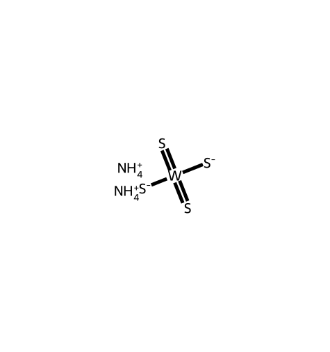 [NH4+].[NH4+].[S]=[W](=[S])([S-])[S-]